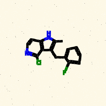 Cc1[nH]c2ccnc(Cl)c2c1Cc1ccccc1F